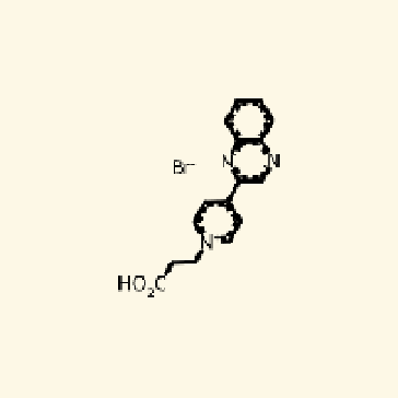 O=C(O)CC[n+]1ccc(-c2cnc3ccccc3n2)cc1.[Br-]